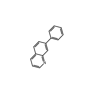 c1ccc(-c2ccc3cccnc3c2)cc1